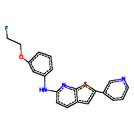 FCCOc1cccc(Nc2ccc3cc(-c4cccnc4)sc3n2)c1